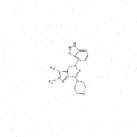 Cc1nc2c(N3CCOCC3)nc(-c3cccc4[nH]ncc34)cn2c1C